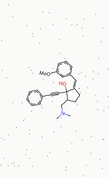 COc1cccc(C=C2CCC(CN(C)C)C2(O)C#Cc2ccccc2)c1